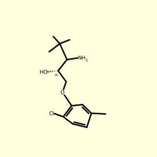 Cc1ccc(Cl)c(OC[C@H](O)C(N)C(C)(C)C)c1